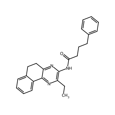 CCc1nc2c(nc1NC(=O)CCCc1ccccc1)CCc1ccccc1-2